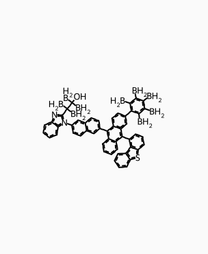 Bc1c(B)c(B)c(-c2ccc3c(-c4ccc5cc(-n6c(C(B)(B)C(B)(B)O)nc7ccccc76)ccc5c4)c4ccccc4c(-c4cccc5sc6ccccc6c45)c3c2)c(B)c1B